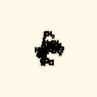 CCCCCCCCC(NC(=O)C1CCCN1C(=O)c1ccnc2cc(Cl)ccc12)C(=O)NCC(=O)N(C(C)C)C(C)(C)C